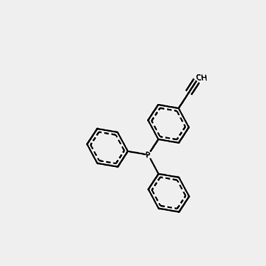 C#Cc1ccc(P(c2ccccc2)c2ccccc2)cc1